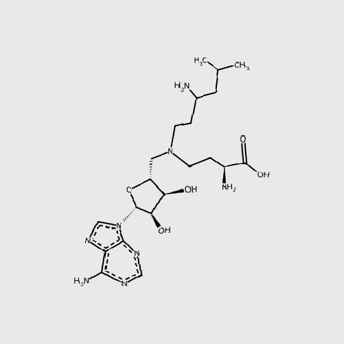 CC(C)CC(N)CCN(CC[C@H](N)C(=O)O)C[C@H]1O[C@@H](n2cnc3c(N)ncnc32)[C@H](O)[C@@H]1O